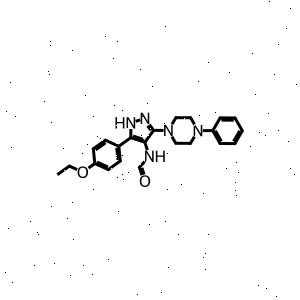 CCOc1ccc(-c2[nH]nc(N3CCN(c4ccccc4)CC3)c2NC=O)cc1